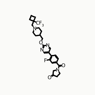 O=C1CCN(C(=O)c2ccc(-c3cnc(OCC4CCN(CC5(C(F)(F)F)CCC5)CC4)nc3)c(F)c2)C1